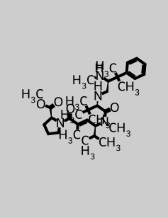 CN[C@H](CN[C@H](C(=O)N(C)[C@H](/C=C(\C)C(=O)N1CCC[C@H]1C(=O)OC)C(C)C)C(C)(C)C)C(C)(C)c1ccccc1